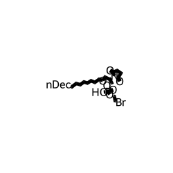 CCCCCCCCCCCCCCCCCCOCC(COP(=O)(O)OCCBr)N1C(=O)CCC1=O